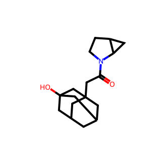 O=C(CC12CC3CC(CC(O)(C3)C1)C2)N1CCC2CC21